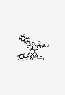 CC(C)(C)OC(=O)NC[C@@H](C(=O)Nc1cc2ccncc2s1)C1CCC(CO[N+](=O)[O-])(C(=O)OCc2ccccc2)CC1